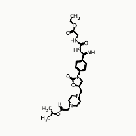 CCOC(=O)CNC(=O)NC(=N)c1ccc(N2CC(CN3CCN(CC(=O)OC(C)C)CC3)OC2=O)cc1